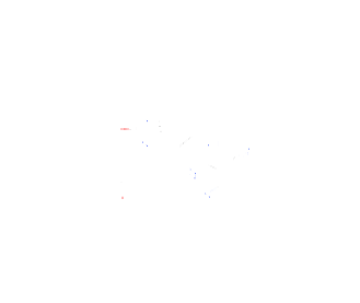 Cn1c(=O)n(CCC(C)(C)O)c2cc(Nc3nc(Cl)ncc3C#N)ccc21